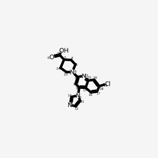 O=C(O)C1CCN(c2cc(-n3ccnc3)c3ccc(Cl)cc3n2)CC1